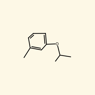 Cc1cccc(OC(C)C)c1